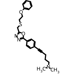 CN(C)CCCC#Cc1ccc(-c2nnc(CSCCOc3ccccc3)o2)cc1